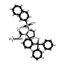 NNC(=O)[C@@H]1C[C@@H](SC(c2ccccc2)(c2ccccc2)c2ccccc2)CN1S(=O)(=O)c1ccc2ccccc2c1